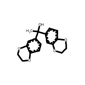 CC(O)(c1ccc2c(c1)OCCO2)c1ccc2c(c1)OCCO2